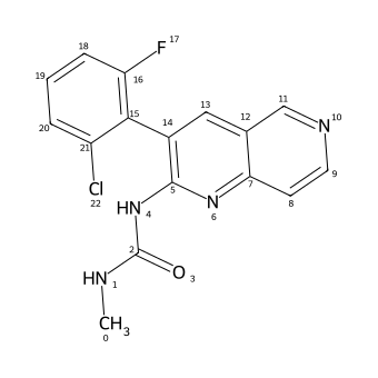 CNC(=O)Nc1nc2ccncc2cc1-c1c(F)cccc1Cl